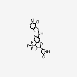 CN(C(=O)[C@H]1CNC(=O)C1)C(c1ccc(NC2Cc3ccc(Cl)c(Cl)c3C2)nc1)C(F)(F)F